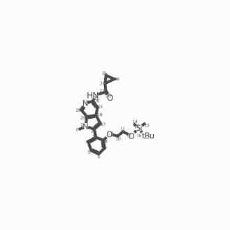 Cn1c(-c2ccccc2OCCO[Si](C)(C)C(C)(C)C)cc2cc(NC(=O)C3CC3)ncc21